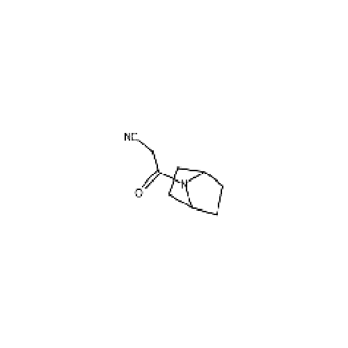 N#CCC(=O)N1C2CCC1CC2